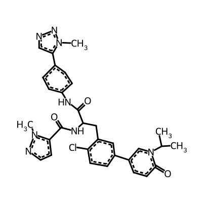 CC(C)n1cc(-c2ccc(Cl)c(CC(NC(=O)c3ccnn3C)C(=O)Nc3ccc(-c4cnnn4C)cc3)c2)ccc1=O